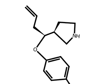 C=CC[C@H](Oc1ccc(Cl)cc1)[C@H]1CCNC1